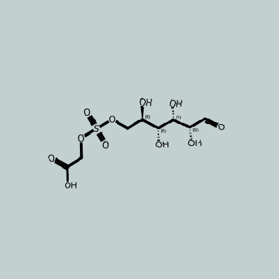 O=C[C@H](O)[C@@H](O)[C@H](O)[C@H](O)COS(=O)(=O)OCC(=O)O